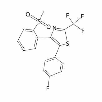 CS(=O)(=O)c1ccccc1-c1nc(C(F)(F)F)sc1-c1ccc(F)cc1